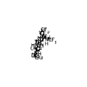 CC(NC(=O)c1cc2nc(Nc3c(Cl)ccc(CNC(=O)C(C)(C)C)c3Cl)n(C)c2nc1N1CCC(C(F)(F)F)CC1)C(F)(F)F